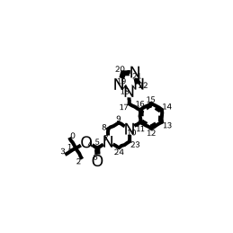 CC(C)(C)OC(=O)N1CCN(c2ccccc2Cn2ncnn2)CC1